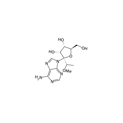 COC(C)[C@@]1(n2cnc3c(N)ncnc32)O[C@H](CO)[C@@H](O)[C@H]1O